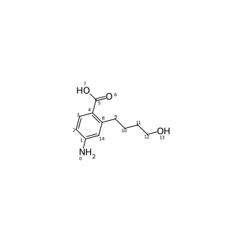 Nc1ccc(C(=O)O)c(CCCCO)c1